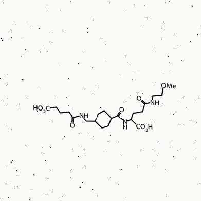 COCCNC(=O)CCC(NC(=O)C1CCC(CNC(=O)CCCC(=O)O)CC1)C(=O)O